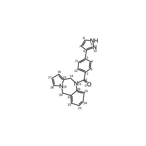 O=C(c1ccc(-c2cc[nH]n2)cc1)N1Cc2cccn2Cc2ccccc21